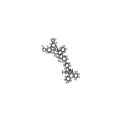 COc1ccc(C2(c3ccc(OC)cc3)C=Cc3c4c(c5ccccc5c3O2)-c2ccc(-c3ccc(-c5nc(-c6ccccc6)c(-c6ccccc6)[nH]5)cc3)cc2C4(C)C)cc1